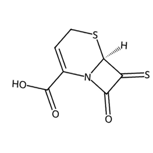 O=C(O)C1=CCS[C@H]2C(=S)C(=O)N12